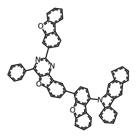 c1ccc(-c2nc(-c3ccc4c(c3)oc3ccccc34)nc3c2oc2ccc(-c4ccc(-n5c6ccccc6c6cc7ccccc7cc65)c5c4oc4ccccc45)cc23)cc1